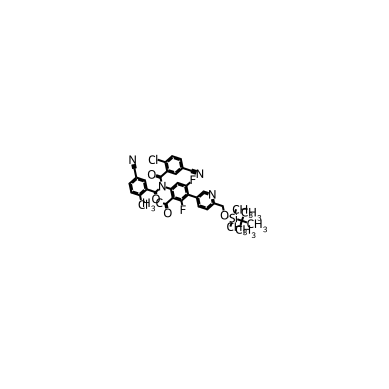 CC(=O)c1c(N(C(=O)c2cc(C#N)ccc2Cl)C(=O)c2cc(C#N)ccc2Cl)cc(F)c(-c2ccc(CO[Si](C)(C)C(C)(C)C)nc2)c1F